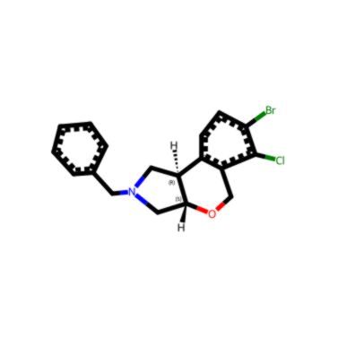 Clc1c(Br)ccc2c1CO[C@@H]1CN(Cc3ccccc3)C[C@@H]21